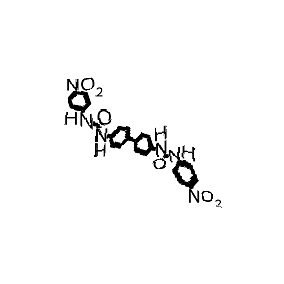 O=C(Nc1ccc(-c2ccc(NC(=O)Nc3ccc([N+](=O)[O-])cc3)cc2)cc1)Nc1ccc([N+](=O)[O-])cc1